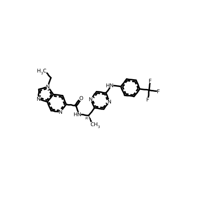 CCn1cnc2cnc(C(=O)N[C@H](C)c3cnc(Nc4ccc(C(F)(F)F)cc4)cn3)cc21